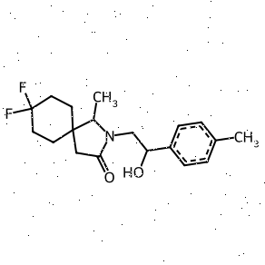 Cc1ccc(C(O)CN2C(=O)CC3(CCC(F)(F)CC3)C2C)cc1